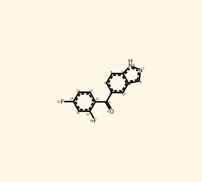 O=C(c1ccc2[nH]ncc2c1)c1ccc(F)cc1F